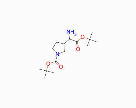 CC(C)(C)OC(=O)C(N)C1CCN(C(=O)OC(C)(C)C)C1